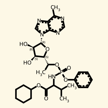 Cc1ncnc2c1ncn2[C@@H]1O[C@H](C(C)OP(=O)(NC(C(=O)OC2CCCCC2)C(C)C)Oc2ccccc2)[C@@H](O)[C@H]1O